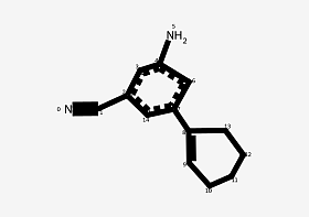 N#Cc1cc(N)cc(C2=CCCCC2)c1